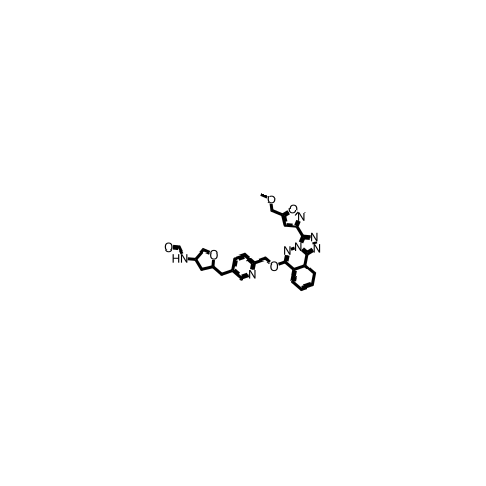 COCc1cc(-c2nnc3n2N=C(OCc2ccc(CC4CC(NC=O)CO4)cn2)C2=CC=CCC23)no1